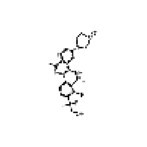 Cc1nnc(N[C@H](C)c2cccc(C(F)(F)CO)c2F)c2cc(N3CC[S+]([O-])CC3)cnc12